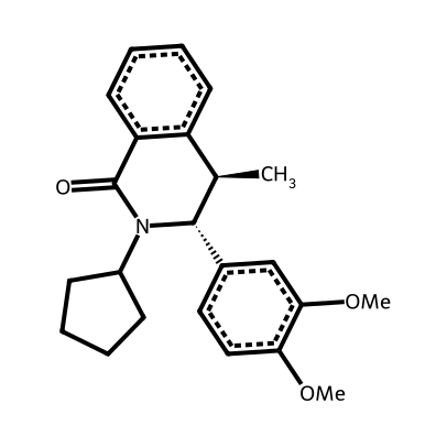 COc1ccc([C@H]2[C@H](C)c3ccccc3C(=O)N2C2CCCC2)cc1OC